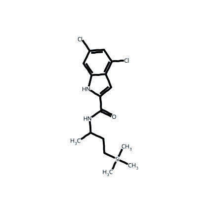 CC(CC[Si](C)(C)C)NC(=O)c1cc2c(Cl)cc(Cl)cc2[nH]1